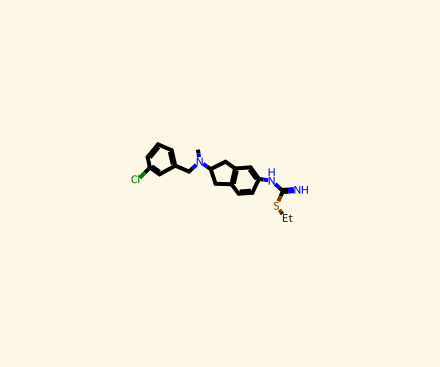 CCSC(=N)Nc1ccc2c(c1)CC(N(C)Cc1cccc(Cl)c1)C2